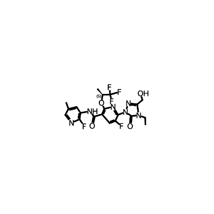 CCn1c(CO)nn(-c2nc(O[C@@H](C)C(F)(F)F)c(C(=O)Nc3cc(C)cnc3F)cc2F)c1=O